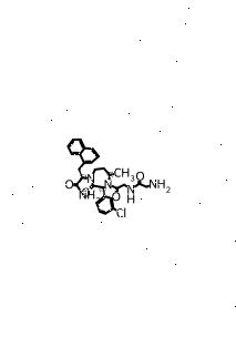 C[C@@H]1CCN([C@H](Cc2cccc3ccccc23)C(N)=O)C(=O)[C@H](c2cccc(Cl)c2)N1C(=O)CNC(=O)CN